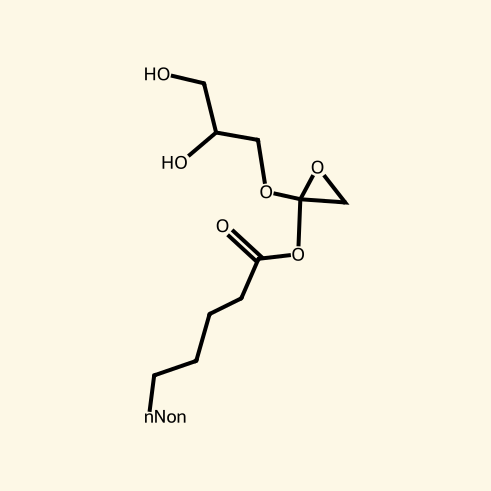 CCCCCCCCCCCCCC(=O)OC1(OCC(O)CO)CO1